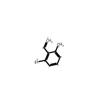 C=Cc1c(C)cccc1CC